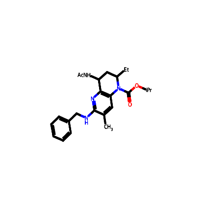 CCC1CC(NC(C)=O)c2nc(NCc3ccccc3)c(C)cc2N1C(=O)OC(C)C